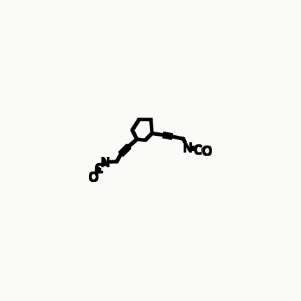 O=C=NCC#CC1CCCC(C#CCN=C=O)C1